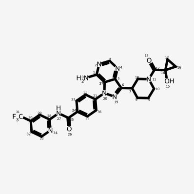 Nc1ncnc2c(C3CCCN(C(=O)C4(O)CC4)C3)nn(-c3ccc(C(=O)Nc4cc(C(F)(F)F)ccn4)cc3)c12